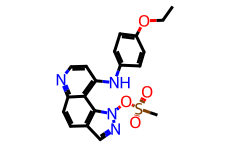 CCOc1ccc(Nc2ccnc3ccc4cnn(OS(C)(=O)=O)c4c23)cc1